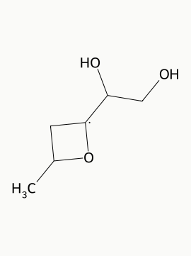 CC1C[C](C(O)CO)O1